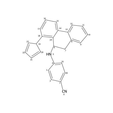 N#Cc1ccc(NC2Cc3ccccc3-c3cccc(C4C=CC=C4)c32)cc1